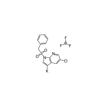 FB(F)F.O=S(=O)(Cc1ccccc1)n1c[c]([K])c2cc(Cl)cnc21